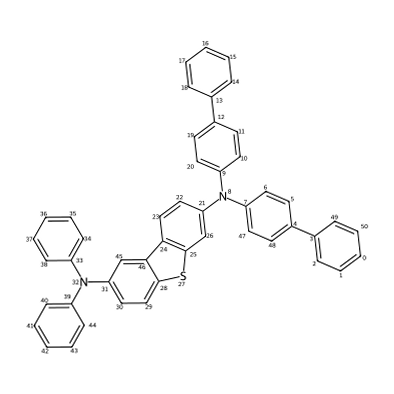 c1ccc(-c2ccc(N(c3ccc(-c4ccccc4)cc3)c3ccc4c(c3)sc3ccc(N(c5ccccc5)c5ccccc5)cc34)cc2)cc1